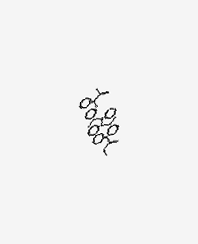 C=C(C)C(=O)COC1COC2C(OC(=O)C(=C)CC)COC12